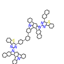 c1cc(-c2ccc(-c3nc(-n4c5cc6ccccc6cc5c5c6c7ccccc7n7c8ccccc8c(cc54)c67)nc4c3sc3ccccc34)cc2)cc(-c2ccc3c(c2)c2c4c5cc6ccccc6cc5n(-c5nc(-c6ccc7ccccc7c6)c6sc7ccccc7c6n5)c4cc4c5ccccc5n3c42)c1